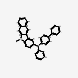 Cn1c2ccc(N(c3ccccc3)c3ccc(-c4ccccc4)cc3)cc2c2cc3ccccc3cc21